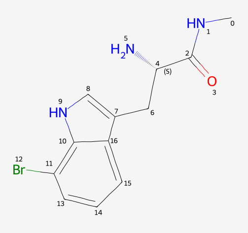 CNC(=O)[C@@H](N)Cc1c[nH]c2c(Br)cccc12